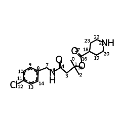 CC(C)(CC(=O)NCc1ccc(Cl)cc1)OC(=O)C1CCNCC1